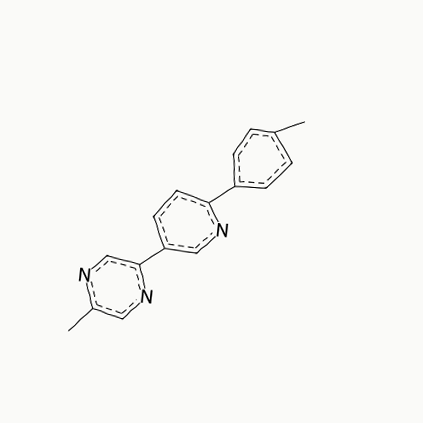 Cc1ccc(-c2ccc(-c3cnc(C)cn3)cn2)cc1